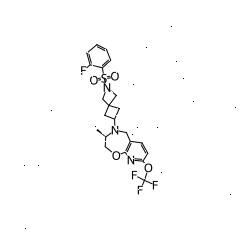 C[C@@H]1COc2nc(OC(F)(F)F)ccc2CN1C1CC2(C1)CN(S(=O)(=O)c1ccccc1F)C2